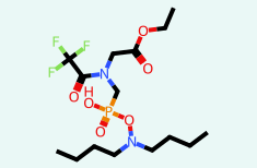 CCCCN(CCCC)OP(=O)(O)CN(CC(=O)OCC)C(=O)C(F)(F)F